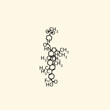 C=C(C)[C@@H]1CC[C@]2(NCC(=O)N3CCC(S(C)(=O)=O)CC3)CC[C@]3(C)[C@H](CCC4[C@@]5(C)CC=C(C6=CC[C@](CF)(C(=O)O)CC6)C(C)(C)C5CC[C@]43C)C12